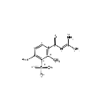 CCCC(C)c1ccc(C(=O)N=C(N)N)c(C)c1S(C)(=O)=O